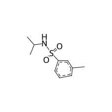 Cc1cccc(S(=O)(=O)NC(C)C)c1